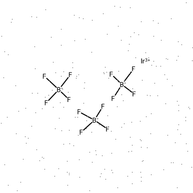 F[B-](F)(F)F.F[B-](F)(F)F.F[B-](F)(F)F.[Ir+3]